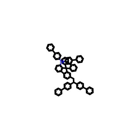 c1ccc(-c2ccc(C(Cc3ccc4c(c3)C3(c5ccccc5-c5ccccc53)c3c-4cccc3N(c3ccc(-c4ccccc4)cc3)c3ccc(-c4ccccc4)cc3)c3ccc(-c4ccccc4)cc3)cc2)cc1